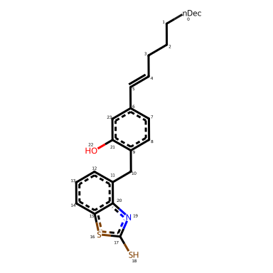 CCCCCCCCCCCCCC=Cc1ccc(Cc2cccc3sc(S)nc23)c(O)c1